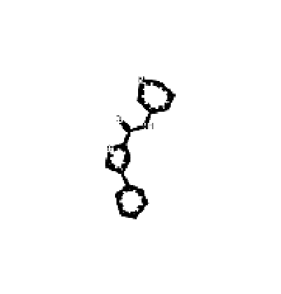 O=C(Nc1cccnc1)c1cc(-c2ccccc2)co1